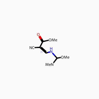 CNC(N/C=C(/C#N)C(=O)OC)OC